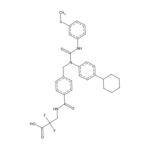 CSc1cccc(NC(=O)N(Cc2ccc(C(=O)NCC(F)(F)C(=O)O)cc2)c2ccc(C3CCCCC3)cc2)c1